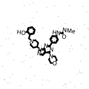 CNC(=O)Nc1ccc(-c2nc(N3CCOCC3)c3cnn(C4CCN(Cc5ccccc5O)CC4)c3n2)cc1